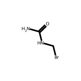 NC(=O)NCBr